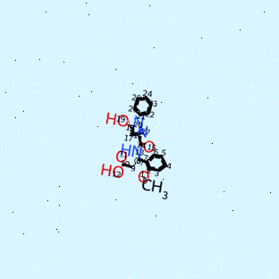 COc1ccccc1[C@H](CC(=O)O)NC(=O)c1cc(O)n(-c2ccccc2)n1